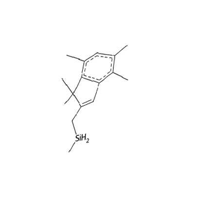 C[SiH2]CC1=Cc2c(C)c(C)cc(C)c2C1(C)C